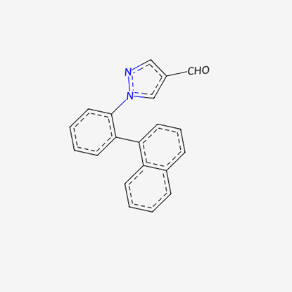 O=Cc1cnn(-c2ccccc2-c2cccc3ccccc23)c1